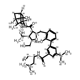 COc1c(CN2O[C@@H](CO)[C@@H]([C@H](C)O)[C@H]2C(=O)N[C@H]2C[C@H]3C[C@@H]([C@@H]2C)C3(C)CCl)cccc1-c1cc(C(=O)N[C@@H](CC(C)C)CN(C)C)cc(N(C)C)c1